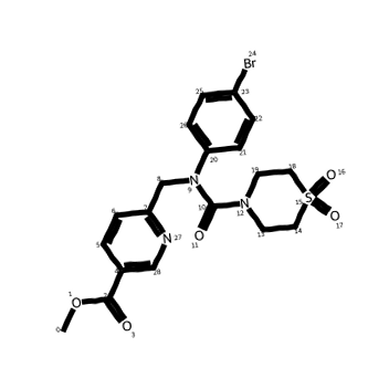 COC(=O)c1ccc(CN(C(=O)N2CCS(=O)(=O)CC2)c2ccc(Br)cc2)nc1